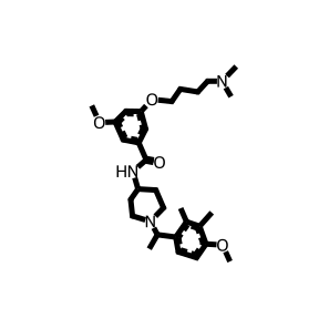 COc1cc(OCCCCN(C)C)cc(C(=O)NC2CCN(C(C)c3ccc(OC)c(C)c3C)CC2)c1